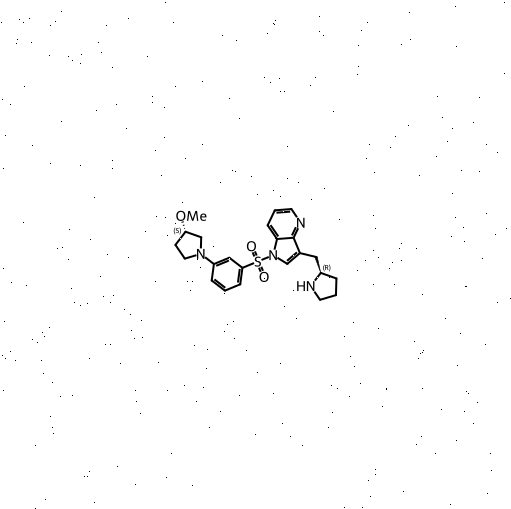 CO[C@H]1CCN(c2cccc(S(=O)(=O)n3cc(C[C@H]4CCCN4)c4ncccc43)c2)C1